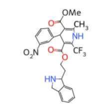 COC(=O)C1=C(C)NC(C(F)(F)F)=C(C(=O)OCCC2NCc3ccccc32)C1c1cccc([N+](=O)[O-])c1